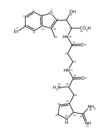 CCc1ccc2oc(C(O)C(NC(=O)CCNC(=O)C(N)CC3=CCNC3C(=N)N)C(=O)O)c(C)c2c1